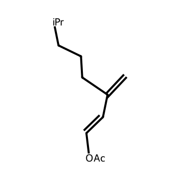 C=C(C=COC(C)=O)CCCC(C)C